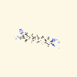 NCCCCCCCCCCCCN.NCCCCCCCCCCCN